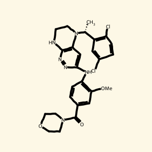 COc1cc(C(=O)N2CCOCC2)ccc1Nc1cc2c(nn1)NCCN2[C@H](C)c1cc(Cl)ccc1Cl